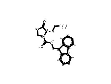 O=C(O)CC[C@H]1C(=O)OCN1C(=O)OCC1c2ccccc2-c2ccccc21